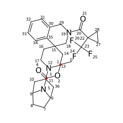 CCOC(=O)N1C2CCC1CC(N1CCC3(CC1)CN(C(=O)C1(C(F)(F)F)CC1)Cc1ccccc13)C2